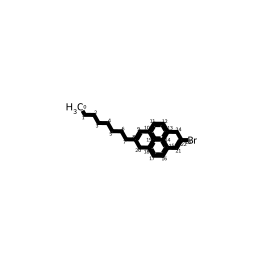 CCCCCCCCC1=Cc2ccc3c4c(ccc(c24)C1)C=C(Br)C3